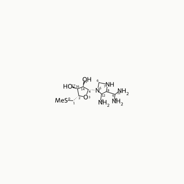 CSC[C@H]1O[C@@H](N2CNC(C(N)N)C2N)[C@H](O)[C@@H]1O